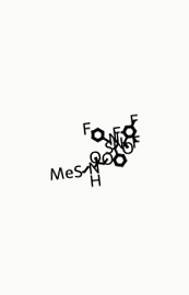 CSCCNC(=O)COc1ccccc1C1SC(c2ccc(F)cc2)=NN1C(=O)c1c(F)cc(F)cc1F